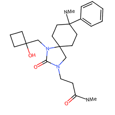 CNC(=O)CCN1CC2(CCC(NC)(c3ccccc3)CC2)N(CC2(O)CCC2)C1=O